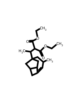 CCOC(=O)C(C(=O)OCC)C(C)C12CC(C)C=C3CC(C1)C3C2